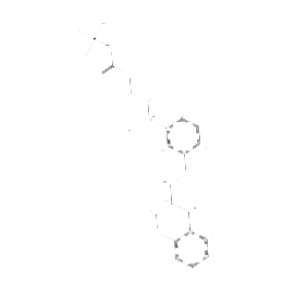 CC(C)(C)NC(=O)OCC[C@@H](O)c1cccc(OCC2COc3ccccc3C2)c1